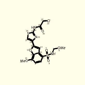 COCNS(=O)(=O)c1ccc(OC)c2oc(-c3csc(NC(=O)CCl)n3)cc12